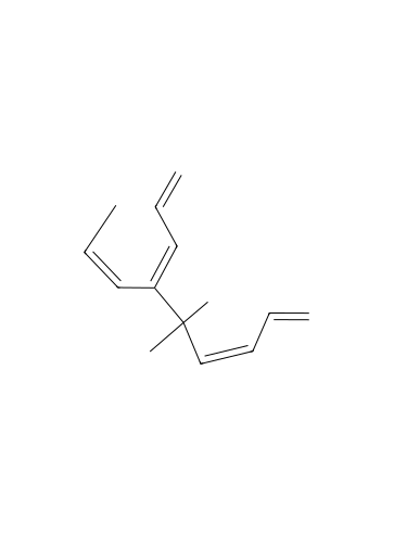 C=C/C=C\C(C)(C)C(/C=C\C)=C/C=C